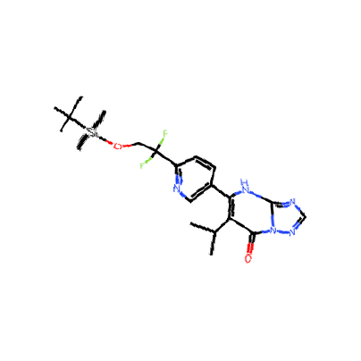 CC(C)c1c(-c2ccc(C(F)(F)CO[Si](C)(C)C(C)(C)C)nc2)[nH]c2ncnn2c1=O